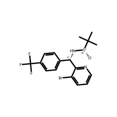 CC(C)(C)[S@+]([O-])N[C@@H](c1ccc(C(F)(F)F)cc1)c1ncccc1Br